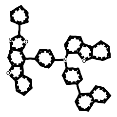 c1ccc(-c2nc3cc4oc5ccccc5c4c(-c4ccc(N(c5ccc(-c6cccc7ccccc67)cc5)c5cccc6c5oc5ccccc56)cc4)c3o2)cc1